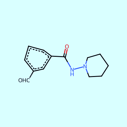 O=Cc1cccc(C(=O)NN2CCCCC2)c1